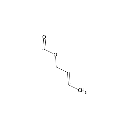 CC=CCO[C]=O